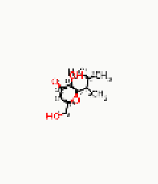 C=C(C)C(C)c1oc(CO)cc(=O)c1O